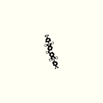 CN(C)c1ccc(N2C(=O)c3ccc(C(=O)c4ccc5c(c4)C(=O)N(c4ccc(N(C)C)cc4)C5=O)cc3C2=O)cc1